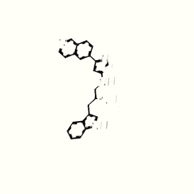 N[C@H](CNc1cc(-c2ccc3cnccc3c2)no1)Cc1c[nH]c2ccccc12